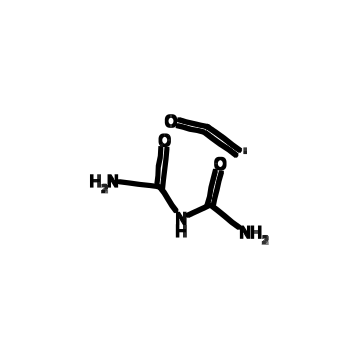 NC(=O)NC(N)=O.[C]=C=O